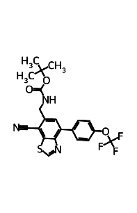 CC(C)(C)OC(=O)NCc1cc(-c2ccc(OC(F)(F)F)cc2)c2ncsc2c1C#N